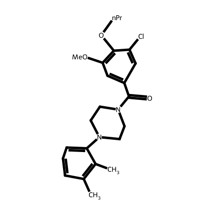 CCCOc1c(Cl)cc(C(=O)N2CCN(c3cccc(C)c3C)CC2)cc1OC